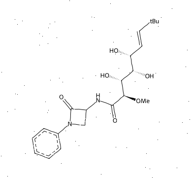 CO[C@@H](C(=O)NC1CN(c2ccccc2)C1=O)[C@H](O)[C@@H](O)[C@H](O)C=CC(C)(C)C